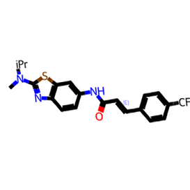 CC(C)N(C)c1nc2ccc(NC(=O)/C=C/c3ccc(C(F)(F)F)cc3)cc2s1